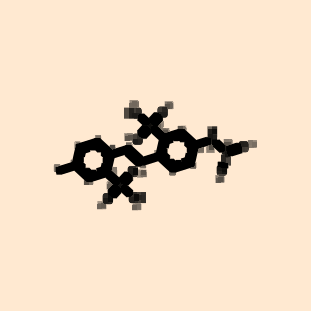 Cc1ccc(C=Cc2ccc(N[SH](=O)=O)cc2S(=O)(=O)O)c(S(=O)(=O)O)c1